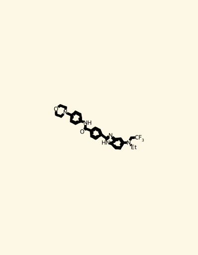 CCN(CC(F)(F)F)c1ccc2[nH]c(-c3ccc(C(=O)Nc4ccc(N5CCOCC5)cc4)cc3)nc2c1